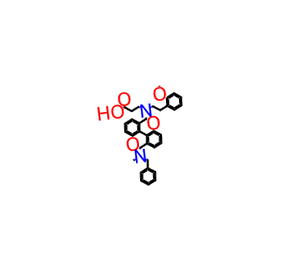 COc1ccccc1CCN(CCC(=O)O)C(=O)c1ccccc1-c1ccccc1C(=O)N(C)Cc1ccccc1